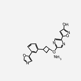 N.Oc1cc(-c2cnc(OC3CC(c4cccc(-c5cnco5)c4)C3)cn2)on1